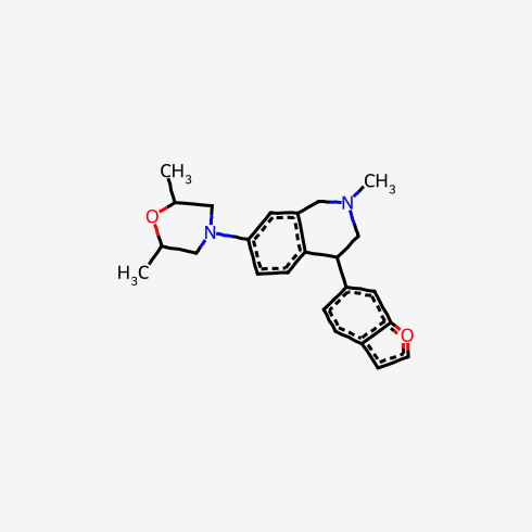 CC1CN(c2ccc3c(c2)CN(C)CC3c2ccc3ccoc3c2)CC(C)O1